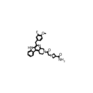 COc1ccc(Cc2nc3c(c4c2[nH]c2ccccc24)CCN(C(=O)CN2CC(C(N)=O)C2)C3)cc1F